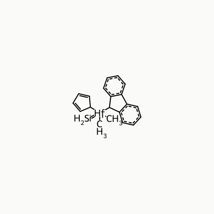 [CH3][Hf]([CH3])(=[SiH2])([CH]1C=CC=C1)[CH]1c2ccccc2-c2ccccc21